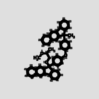 COC(C)COC1(c2ccc(Oc3ccc(C4(C)c5ccccc5-c5cc6ccccc6cc54)cc3)cc2)c2ccccc2-c2cc3ccccc3cc21